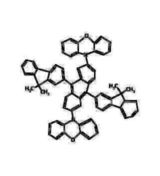 CC1(C)c2ccccc2-c2ccc(-c3c4ccc(N5c6ccccc6Oc6ccccc65)cc4c(-c4ccc5c(c4)C(C)(C)c4ccccc4-5)c4ccc(N5c6ccccc6Oc6ccccc65)cc34)cc21